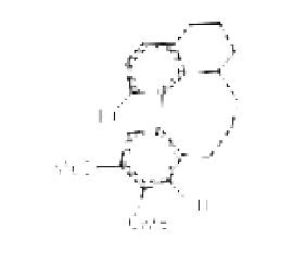 COc1cc2c(c(O)c1OC)CCCC1CCCc3ccc(O)c-2c31